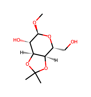 CO[C@H]1O[C@H](CO)[C@H]2OC(C)(C)O[C@H]2[C@@H]1O